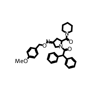 COc1ccc(CON=C2CC(C(=O)N3CCCCC3)N(C(=O)C(c3ccccc3)c3ccccc3)C2)cc1